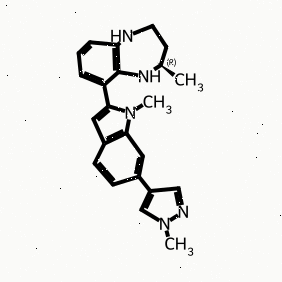 C[C@@H]1CCNc2cccc(-c3cc4ccc(-c5cnn(C)c5)cc4n3C)c2N1